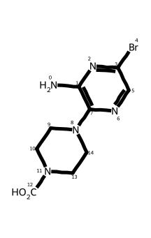 Nc1nc(Br)cnc1N1CCN(C(=O)O)CC1